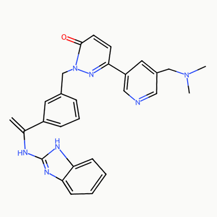 C=C(Nc1nc2ccccc2[nH]1)c1cccc(Cn2nc(-c3cncc(CN(C)C)c3)ccc2=O)c1